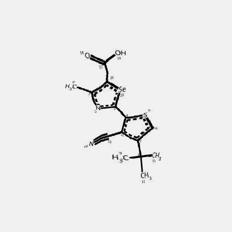 Cc1nc(-c2scc(C(C)(C)C)c2C#N)[se]c1C(=O)O